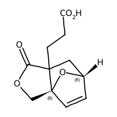 O=C(O)CCC12C[C@@H]3C=C[C@@]1(COC2=O)O3